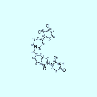 O=C1CCN(N2Cc3cc(CN4CCCN(c5cccc(Cl)c5Cl)CC4)ccc3C2=O)C(=O)N1